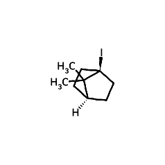 CC1(C)[C@H]2CC[C@@]1(I)CC2